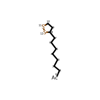 CC(=O)CCCCCCCC1CCSS1